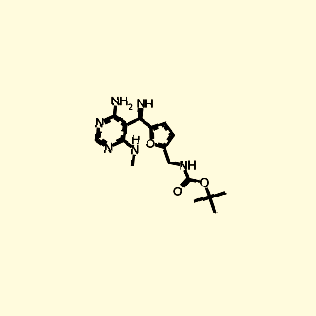 CNc1ncnc(N)c1C(=N)c1ccc(CNC(=O)OC(C)(C)C)o1